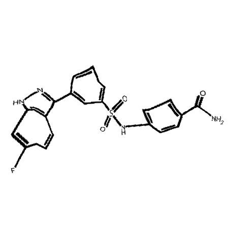 NC(=O)c1ccc(NS(=O)(=O)c2cccc(-c3n[nH]c4cc(F)ccc34)c2)cc1